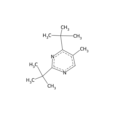 Cc1cnc(C(C)(C)C)nc1C(C)(C)C